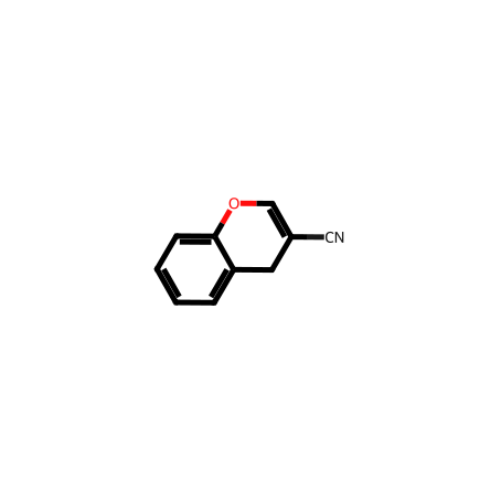 N#CC1=COc2ccccc2C1